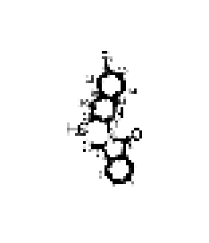 O=C1c2ccccc2C(=O)N1c1nc2ccc(F)cc2cc1O